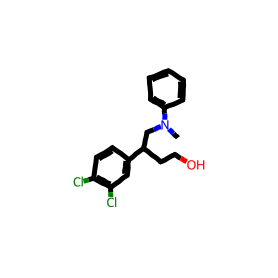 CN(CC(CCO)c1ccc(Cl)c(Cl)c1)c1ccccc1